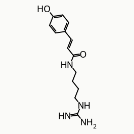 N=C(N)NCCCCNC(=O)/C=C/c1ccc(O)cc1